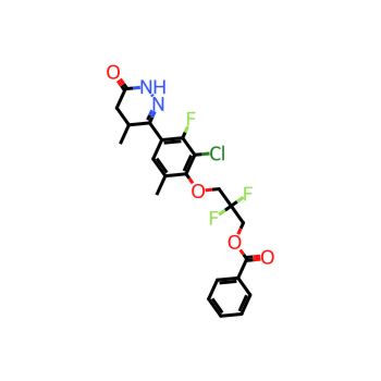 Cc1cc(C2=NNC(=O)CC2C)c(F)c(Cl)c1OCC(F)(F)COC(=O)c1ccccc1